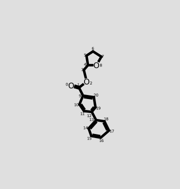 O=C(OCC1CCCO1)c1ccc(-c2ccccc2)cc1